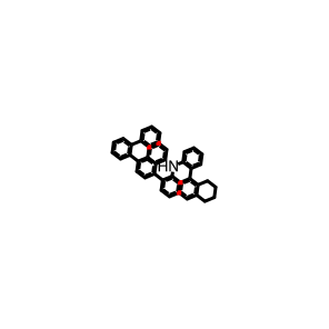 c1ccc(-c2ccccc2-c2ccc(-c3ccccc3Nc3ccccc3-c3cccc4c3CCCC4)c3ccccc23)cc1